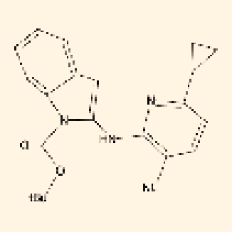 CC(C)(C)OC(=O)n1c(Nc2nc(C3CC3)ccc2C#N)cc2ccccc21